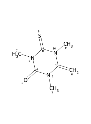 C=C1N(C)C(=O)N(C)C(=S)N1C